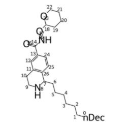 CCCCCCCCCCCCCCCCC1NCCc2cc(C(=O)NOC3CCCCO3)ccc21